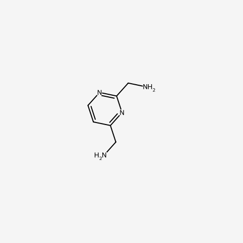 NCc1ccnc(CN)n1